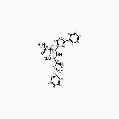 CC(C)(C)[C@H](N[C@H](c1noc(-c2ccccc2)n1)C(C)(C)C(N)=O)c1noc(-c2ccccc2)n1